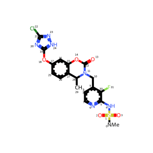 CNS(=O)(=O)Nc1nccc(CN2C(=O)Oc3cc(Oc4nc(Cl)n[nH]4)ccc3C2C)c1F